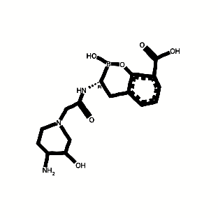 NC1CCN(CC(=O)N[C@H]2Cc3cccc(C(=O)O)c3OB2O)CC1O